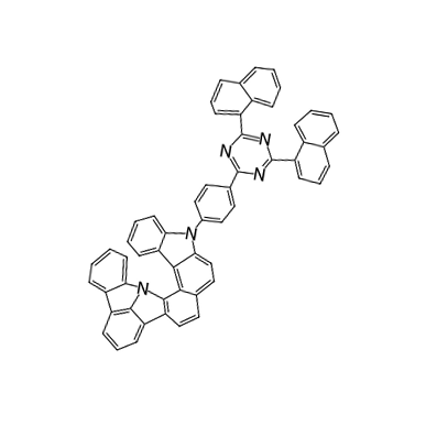 c1ccc2c(-c3nc(-c4ccc(-n5c6ccccc6c6c7c(ccc8c9cccc%10c%11ccccc%11n(c%109)c87)ccc65)cc4)nc(-c4cccc5ccccc45)n3)cccc2c1